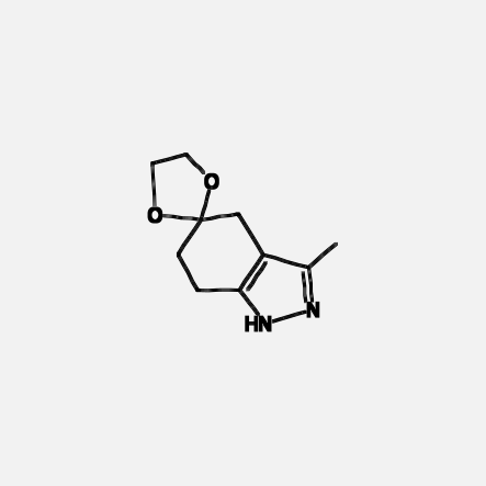 Cc1n[nH]c2c1CC1(CC2)OCCO1